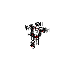 CC1(C)C2=[N+](CCCCCC(=O)NC(C(=O)NCCCCCC(=O)NCCN3C(=O)C=CC3=O)CCCCNC(=O)CCCCCC3(C)/C(=C/C=C/C=C/2)N(CCCCS(=O)(=O)O)c2ccc(S(=O)(=O)O)cc23)c2ccc(S(=O)(=O)O)cc21